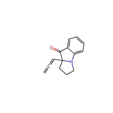 C=C=CC12CCCN1c1ccccc1C2=O